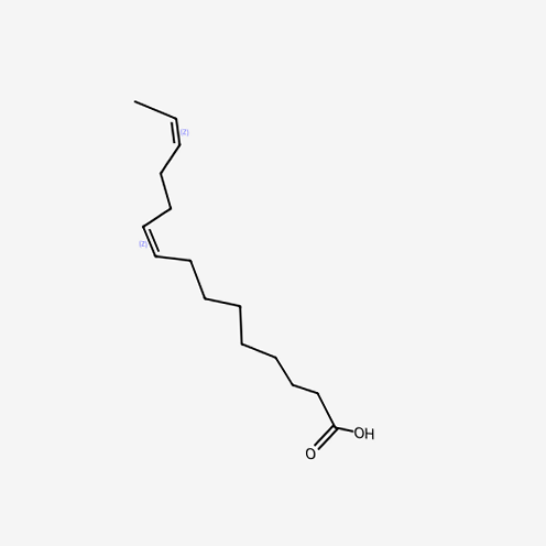 C/C=C\CC/C=C\CCCCCCCC(=O)O